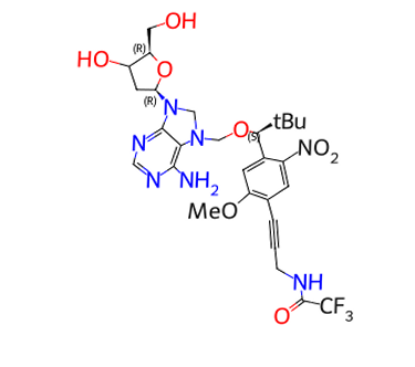 COc1cc([C@@H](OCN2CN([C@H]3CC(O)[C@@H](CO)O3)c3ncnc(N)c32)C(C)(C)C)c([N+](=O)[O-])cc1C#CCNC(=O)C(F)(F)F